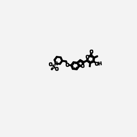 Cc1c(-c2cc3cc(OCC4CCCN(S(C)(=O)=O)C4)ccc3o2)oc(=O)c(C)c1O